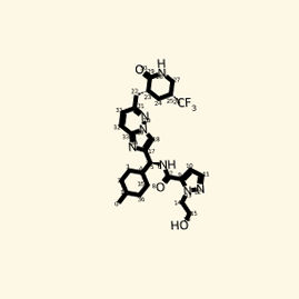 CC1CCC([C@H](NC(=O)c2ccnn2CCO)c2cn3nc(C[C@H]4C[C@@H](C(F)(F)F)CNC4=O)ccc3n2)CC1